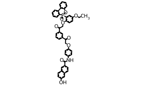 CCOc1ccc(OCC(=O)c2cccc(C(=O)COc3ccc(NC(=O)c4ccc5cc(O)ccc5c4)cc3)c2)c(P2(=O)Oc3ccccc3-c3ccccc32)c1